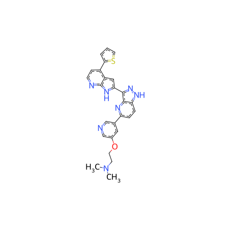 CN(C)CCOc1cncc(-c2ccc3[nH]nc(-c4cc5c(-c6cccs6)ccnc5[nH]4)c3n2)c1